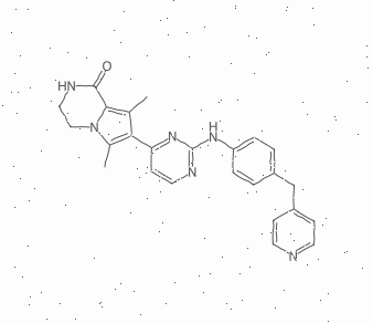 Cc1c(-c2ccnc(Nc3ccc(Cc4ccncc4)cc3)n2)c(C)n2c1C(=O)NCC2